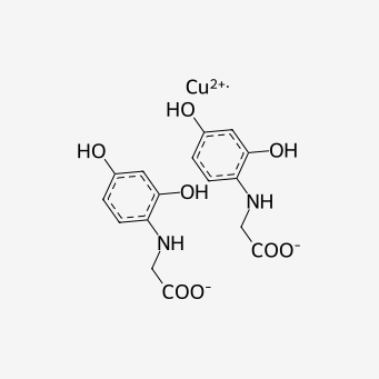 O=C([O-])CNc1ccc(O)cc1O.O=C([O-])CNc1ccc(O)cc1O.[Cu+2]